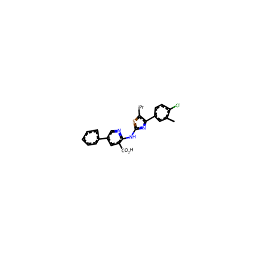 Cc1cc(-c2nc(Nc3ncc(-c4ccccc4)cc3C(=O)O)sc2C(C)C)ccc1Cl